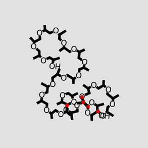 CC(O)COC(C)COC(C)COC(C)COC(C)COC(C)COC(C)COC(C)COC(C)COC(C)COC(C)COC(C)COC(C)COC(C)COC(C)COC(C)COC(C)COC(C)COC(C)COC(C)COC(C)COC(C)COC(C)COC(C)COC(C)CO